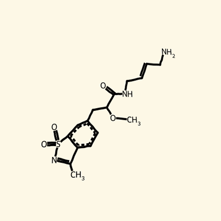 COC(Cc1ccc2c(c1)S(=O)(=O)N=C2C)C(=O)NC/C=C/CN